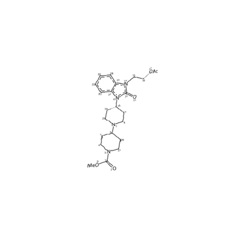 COC(=O)N1CCC(N2CCC(n3c(=O)n(CCOC(C)=O)c4ccccc43)CC2)CC1